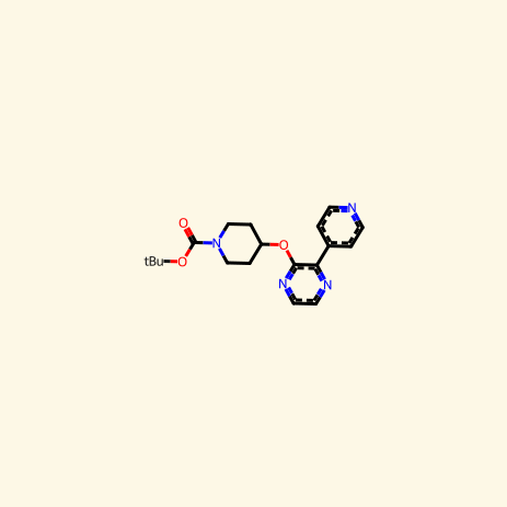 CC(C)(C)OC(=O)N1CCC(Oc2nccnc2-c2ccncc2)CC1